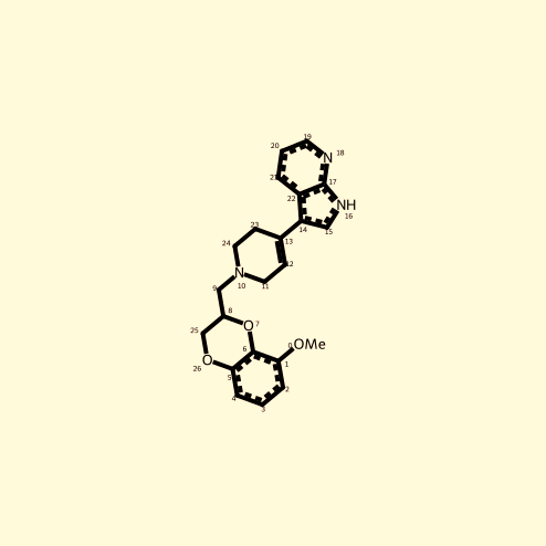 COc1cccc2c1OC(CN1CC=C(c3c[nH]c4ncccc34)CC1)CO2